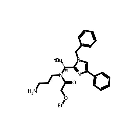 CCOCC(=O)N(CCCN)[C@@H](c1nc(-c2ccccc2)cn1Cc1ccccc1)C(C)(C)C